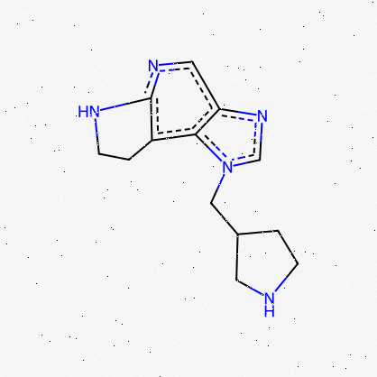 c1nc2c(c3c1ncn3CC1CCNC1)CCN2